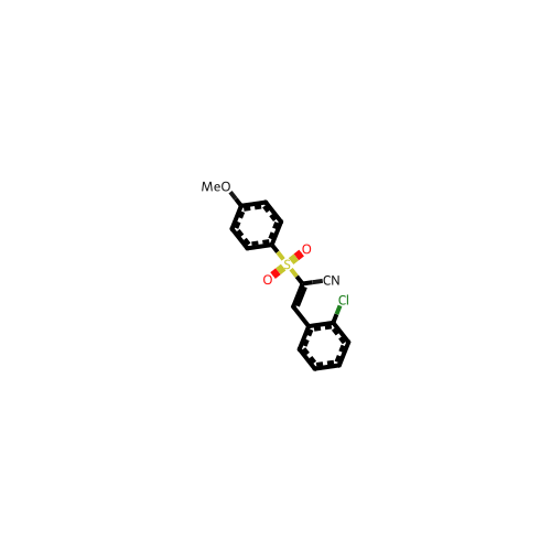 COc1ccc(S(=O)(=O)C(C#N)=Cc2ccccc2Cl)cc1